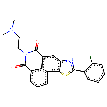 CN(C)CCN1C(=O)c2cccc3c2c(cc2nc(-c4ccccc4Cl)sc23)C1=O